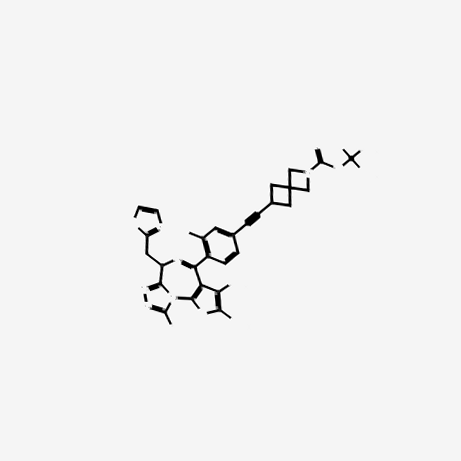 Cc1sc2c(c1C)C(c1ccc(C#CC3CC4(C3)CN(C(=O)OC(C)(C)C)C4)cc1F)=NC(Cc1ncco1)c1nnc(C)n1-2